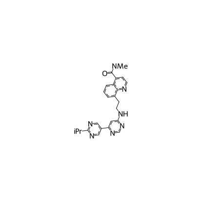 CNC(=O)c1ccnc2c(CCNc3cc(-c4cnc(C(C)C)nc4)ncn3)cccc12